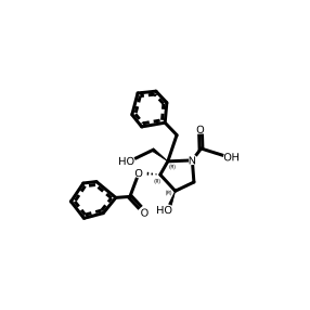 O=C(O[C@H]1[C@H](O)CN(C(=O)O)[C@@]1(CO)Cc1ccccc1)c1ccccc1